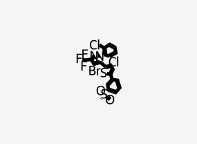 CS(=O)(=O)c1cccc(-c2ccc(-c3c(Br)c(C(F)(F)F)nn3-c3c(Cl)cccc3Cl)s2)c1